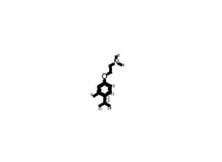 Cc1cc(OCCN(C)C)ccc1C(C)C